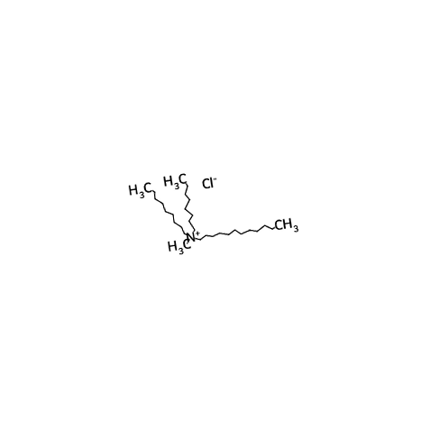 CCCCCCCCCCCC[N+](C)(CCCCCCCC)CCCCCCCCC.[Cl-]